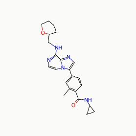 Cc1cc(-c2cnc3c(NCC4CCCCO4)nccn23)ccc1C(=O)NC1CC1